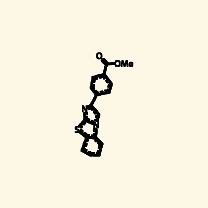 COC(=O)c1ccc(-c2cn3c(n2)sc2ccccc23)cc1